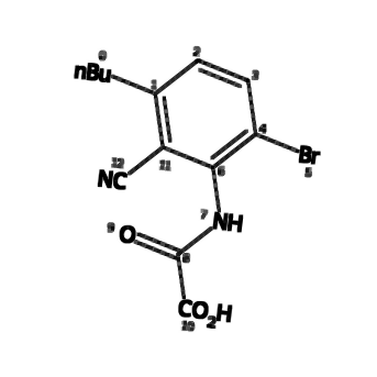 CCCCc1ccc(Br)c(NC(=O)C(=O)O)c1C#N